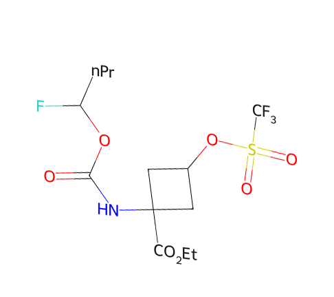 CCCC(F)OC(=O)NC1(C(=O)OCC)CC(OS(=O)(=O)C(F)(F)F)C1